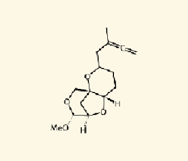 C=C=C(C)CC1CC[C@@H]2O[C@@H]3C[C@]2(CO[C@H]3OC)O1